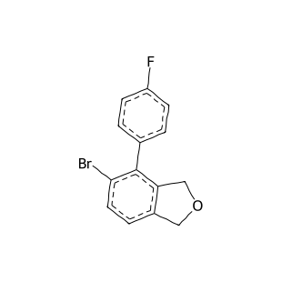 Fc1ccc(-c2c(Br)ccc3c2COC3)cc1